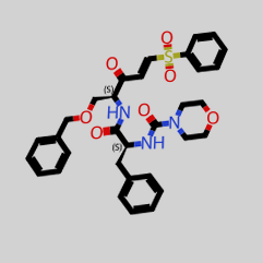 O=C(C=CS(=O)(=O)c1ccccc1)[C@H](COCc1ccccc1)NC(=O)[C@H](Cc1ccccc1)NC(=O)N1CCOCC1